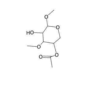 COC1OCC(OC(C)=O)C(OC)C1O